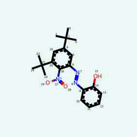 CC(C)(C)c1cc(/N=N/c2ccccc2O)c([N+](=O)[O-])c(C(C)(C)C)c1